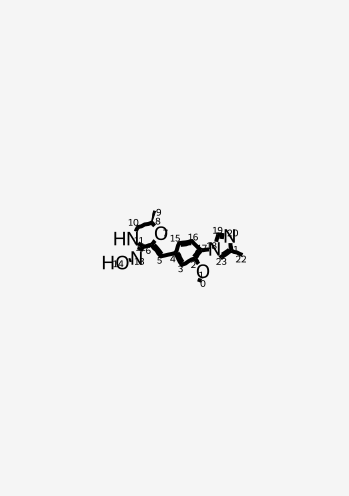 COc1cc(/C=C2\O[C@H](C)CN\C2=N/O)ccc1-n1cnc(C)c1